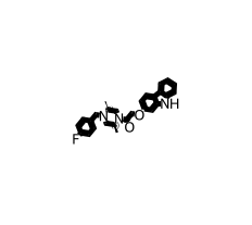 C[C@@H]1CN(C(=O)COc2ccc3c(c2)[nH]c2ccccc23)[C@@H](C)CN1Cc1ccc(F)cc1